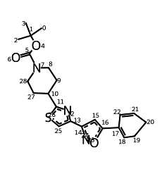 CC(C)(C)OC(=O)N1CCC(c2nc(-c3cc(C4=CCCC=C4)on3)cs2)CC1